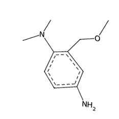 COCc1cc(N)ccc1N(C)C